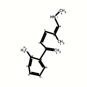 C=C(/C=C\C(C)=C/NC)c1ccccc1C